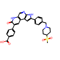 CS(=O)(=O)C1CCN(Cc2ccc(-c3cc4c(ncc5[nH]c(=O)c(-c6ccc(C(=O)O)cc6)cc54)[nH]3)cc2)CC1